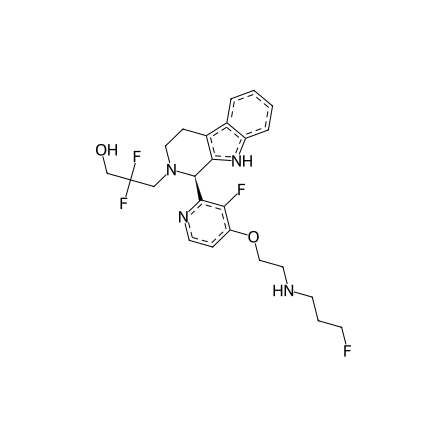 OCC(F)(F)CN1CCc2c([nH]c3ccccc23)[C@H]1c1nccc(OCCNCCCF)c1F